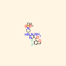 CS(=O)(=O)N1CCC(Nc2ncc(C(=O)c3c(F)c(F)cc4ccoc34)c(N)n2)CC1